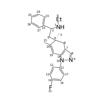 CCNC(C[C@@]1(C)Cc2cnn(-c3ccc(F)cc3)c2C=C1C)c1ccccc1